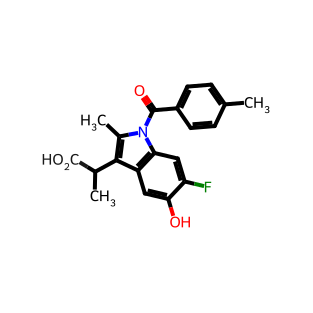 Cc1ccc(C(=O)n2c(C)c(C(C)C(=O)O)c3cc(O)c(F)cc32)cc1